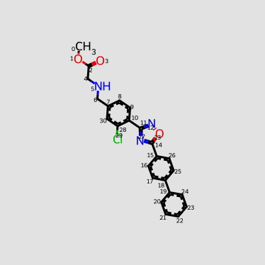 COC(=O)CNCc1ccc(-c2noc(-c3ccc(-c4ccccc4)cc3)n2)c(Cl)c1